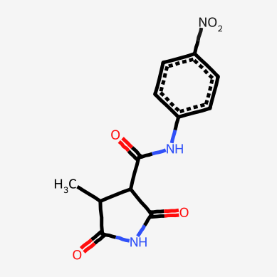 CC1C(=O)NC(=O)C1C(=O)Nc1ccc([N+](=O)[O-])cc1